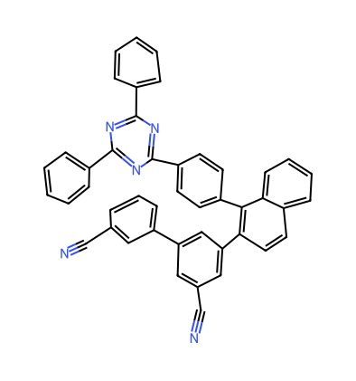 N#Cc1cccc(-c2cc(C#N)cc(-c3ccc4ccccc4c3-c3ccc(-c4nc(-c5ccccc5)nc(-c5ccccc5)n4)cc3)c2)c1